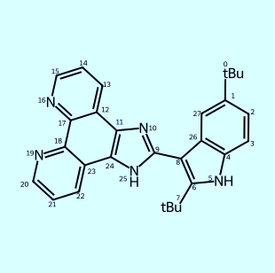 CC(C)(C)c1ccc2[nH]c(C(C)(C)C)c(-c3nc4c5cccnc5c5ncccc5c4[nH]3)c2c1